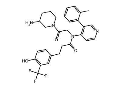 Cc1ccccc1-c1cnccc1N(CC(=O)N1CCCC(N)C1)C(=O)CCc1ccc(O)c(C(F)(F)F)c1